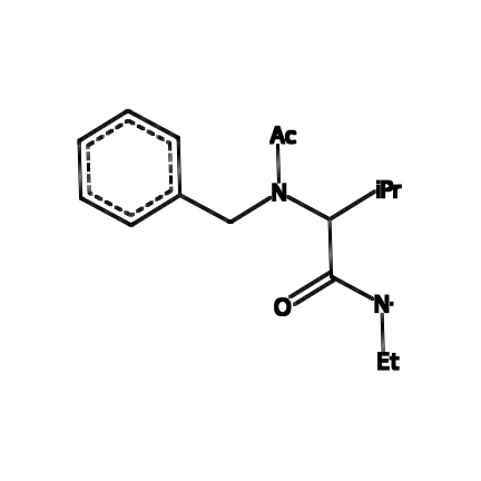 CC[N]C(=O)C(C(C)C)N(Cc1ccccc1)C(C)=O